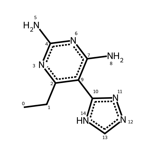 CCc1nc(N)nc(N)c1-c1nnc[nH]1